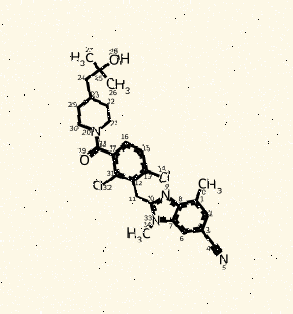 Cc1cc(C#N)cc2c1nc(Cc1c(Cl)ccc(C(=O)N3CCC(CC(C)(C)O)CC3)c1Cl)n2C